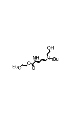 CCCCN(/C=C/C=C(\N)C(=O)OCCOCC)CCO